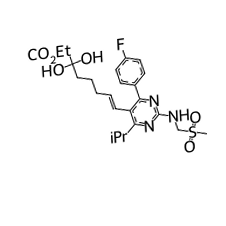 CCOC(=O)C(O)(O)CCCC=Cc1c(-c2ccc(F)cc2)nc(NCS(C)(=O)=O)nc1C(C)C